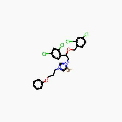 Clc1ccc(COC(C[n+]2ccn(CCCOc3ccccc3)c2)c2ccc(Cl)cc2Cl)c(Cl)c1.[Br-]